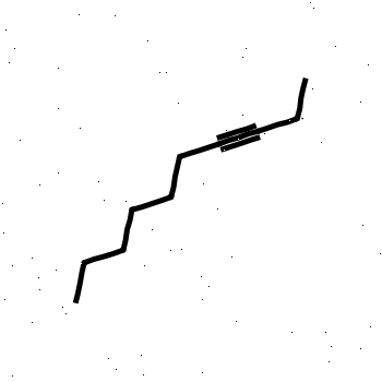 C[CH]C#CCCCCCC